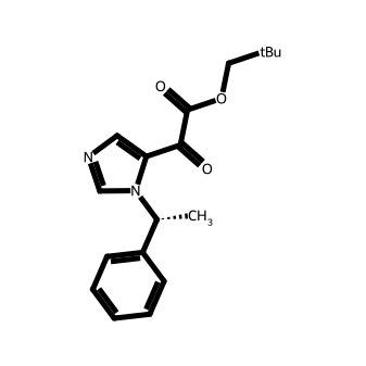 C[C@H](c1ccccc1)n1cncc1C(=O)C(=O)OCC(C)(C)C